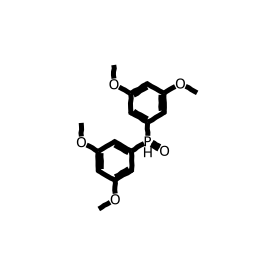 COc1cc(OC)cc([PH](=O)c2cc(OC)cc(OC)c2)c1